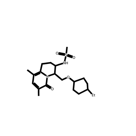 CCC1CCC(OCC2C(NS(C)(=O)=O)CCc3c(C)cc(C)c(=O)n32)CC1